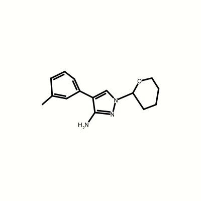 Cc1cccc(-c2cn(C3CCCCO3)nc2N)c1